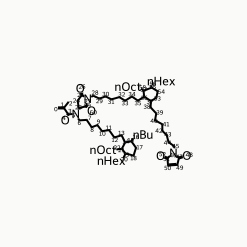 C=C(C)C(=O)N(CCCCCCCCC1C(CCCC)CCC(CCCCCC)C1CCCCCCCC)C1CC(=O)N(CCCCCCCCC2C(CCCCCCCCN3C(=O)C=CC3=O)CCC(CCCCCC)C2CCCCCCCC)C1=O